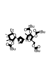 CC[C@H]1O[C@H](c2cc([C@H]3O[C@H](COC(=O)C(C)(C)C)[C@@H](OC(=O)C(C)(C)C)[C@H](OC(=O)C(C)(C)C)[C@@H]3C)cs2)[C@@H](OC(=O)C(C)(C)C)[C@@H](C)[C@@H]1C